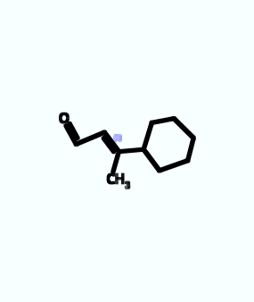 C/C(=C\C=O)C1CCCCC1